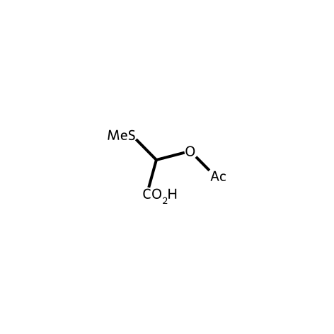 CSC(OC(C)=O)C(=O)O